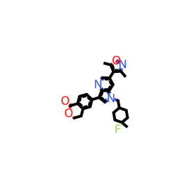 Cc1noc(C)c1-c1cnc2c(-c3ccc4c(c3)CCOC4=O)cn(CC3CCC(C)(F)CC3)c2c1